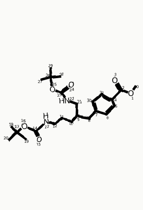 COC(=O)c1ccc(CC(CCCNC(=O)OC(C)(C)C)CNC(=O)OC(C)(C)C)cc1